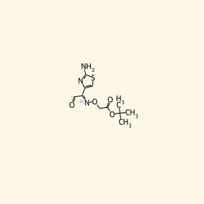 CC(C)(C)OC(=O)CO/N=C(/[C]=O)c1csc(N)n1